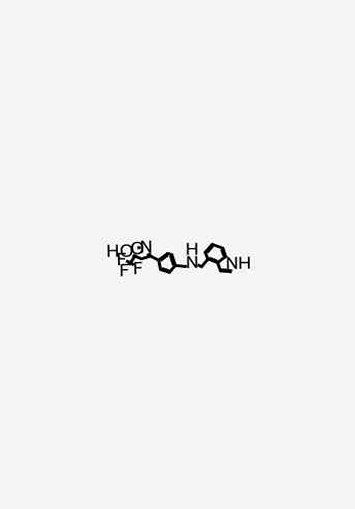 OC1(C(F)(F)F)CC(c2ccc(CNCc3cccc4[nH]ccc34)cc2)=NO1